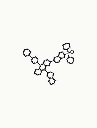 O=P(c1ccccc1)(c1ccccc1)c1ccc2cc(-c3ccc4c(-c5ccc(-c6ccccc6)cc5)c5ccccc5c(-c5ccc6ccccc6c5)c4c3)ccc2c1